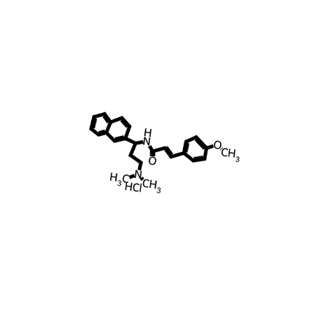 COc1ccc(C=CC(=O)NC(CCN(C)C)c2ccc3ccccc3c2)cc1.Cl